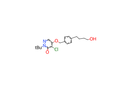 CC(C)(C)n1ncc(OCc2ccc(CCCCO)cc2)c(Cl)c1=O